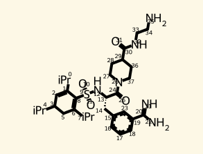 CC(C)C1=CC(C(C)C)CC(C(C)C)=C1S(=O)(=O)N[C@@H](Cc1cccc(C(=N)N)c1)C(=O)N1CCC(C(=O)NCCN)CC1